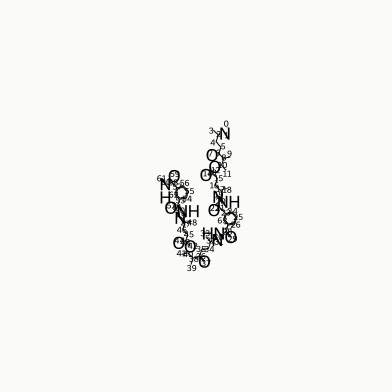 C/N=C(\C)CCC(=O)C(C)C(C)OC(=O)CC/C(C)=N/NC(=O)c1cccc(C(=O)N/N=C(\C)CCC(=O)C(C)C(C)OC(=O)CC/C(C)=N/NC(=O)c2cccc(C(=O)NC)c2)c1